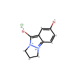 Brc1ccc2c(c1)c(Br)n1[n+]2CCC1.[Cl-]